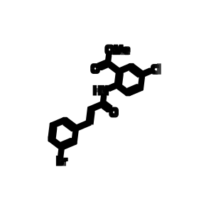 COC(=O)c1cc(Cl)ccc1NC(=O)C=Cc1cccc(Br)c1